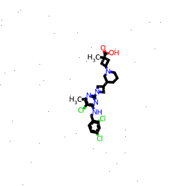 Cc1nc(N2CC(C3CCCN(C4CC(C)(C(=O)O)C4)C3)C2)nc(NCc2ccc(Cl)cc2Cl)c1Cl